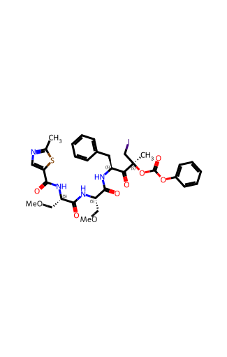 COC[C@H](NC(=O)c1cnc(C)s1)C(=O)N[C@@H](COC)C(=O)N[C@@H](Cc1ccccc1)C(=O)[C@@](C)(CI)OC(=O)Oc1ccccc1